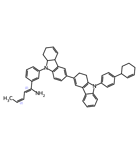 C/C=C\C=C(/N)c1cccc(N2c3ccc(C4=Cc5c(n(-c6ccc(C7C=CCCC7)cc6)c6ccccc56)CC4)cc3C3C=CCCC32)c1